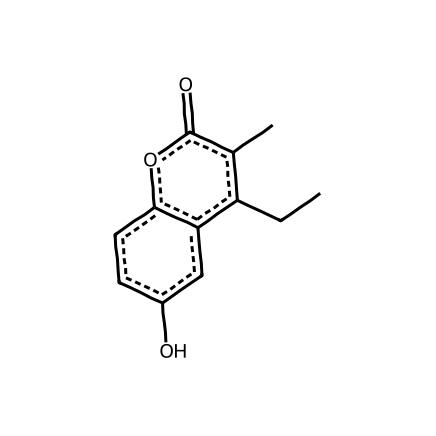 CCc1c(C)c(=O)oc2ccc(O)cc12